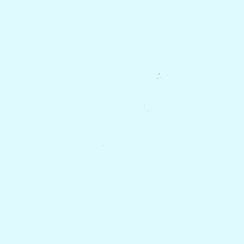 CC(=O)OC[Si](C)(C)C